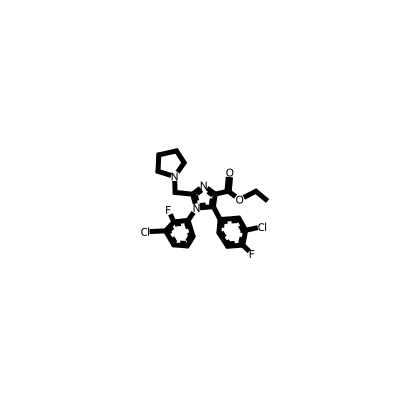 CCOC(=O)c1nc(CN2CCCC2)n(-c2cccc(Cl)c2F)c1-c1ccc(F)c(Cl)c1